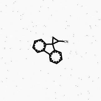 N#CC1CC12c1ccccc1-c1ccccc12